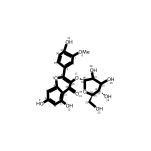 COc1cc(-c2oc3cc(O)cc(O)c3c(=O)c2O[C@H]2O[C@H](CO)[C@@H](O)C(O)C2O)ccc1O